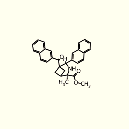 COC(=O)[C@@]1(C)N[C@@H](c2ccc3ccccc3c2)C2(C(=O)c3ccc4ccccc4c3)CC1C2